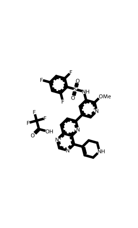 COc1ncc(-c2ccc3ncnc(C4=CCNCC4)c3n2)cc1NS(=O)(=O)c1c(F)cc(F)cc1F.O=C(O)C(F)(F)F